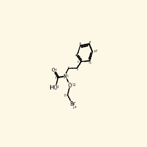 O=C(O)N(CCc1ccccc1)OCBr